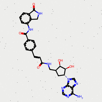 Nc1ncnc2c1ncn2[C@@H]1CC(CNC(=O)/C=C/c2ccc(C(=O)Nc3cccc4c3CNC4=O)cc2)[C@@H](O)[C@H]1O